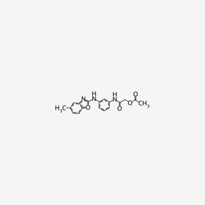 CC(=O)OCC(=O)Nc1cccc(Nc2nc3cc(C)ccc3o2)c1